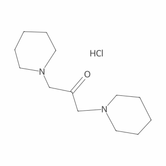 Cl.O=C(CN1CCCCC1)CN1CCCCC1